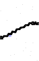 CC(=O)OCCCCCCCCC/C=C/CCBr